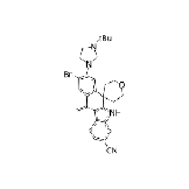 C=C1c2cc(Br)c(N3CCN(C(C)(C)C)C3)cc2C2(CCOCC2)c2[nH]c3cc(C#N)ccc3c21